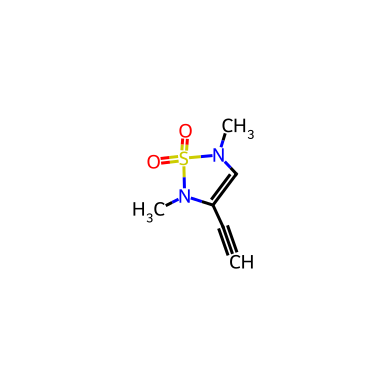 C#CC1=CN(C)S(=O)(=O)N1C